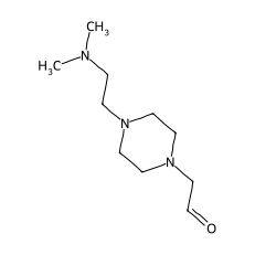 CN(C)CCN1CCN(CC=O)CC1